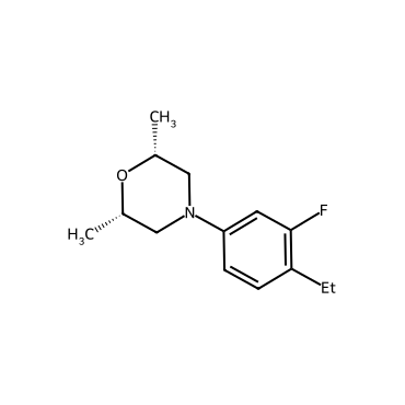 CCc1ccc(N2C[C@@H](C)O[C@@H](C)C2)cc1F